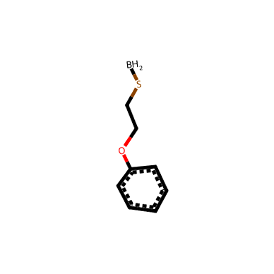 BSCCOc1ccccc1